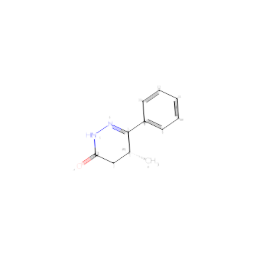 C[C@@H]1CC(=O)NN=C1c1ccccc1